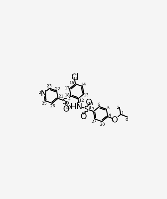 CC(C)Oc1ccc(S(=O)(=O)Nc2ccc(Cl)cc2[S+]([O-])c2ccncc2)cc1